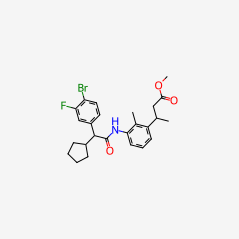 COC(=O)CC(C)c1cccc(NC(=O)C(c2ccc(Br)c(F)c2)C2CCCC2)c1C